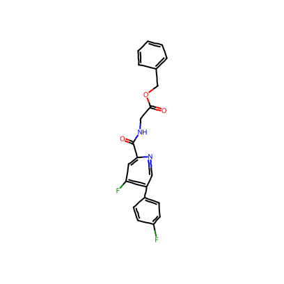 O=C(CNC(=O)c1cc(F)c(-c2ccc(F)cc2)cn1)OCc1ccccc1